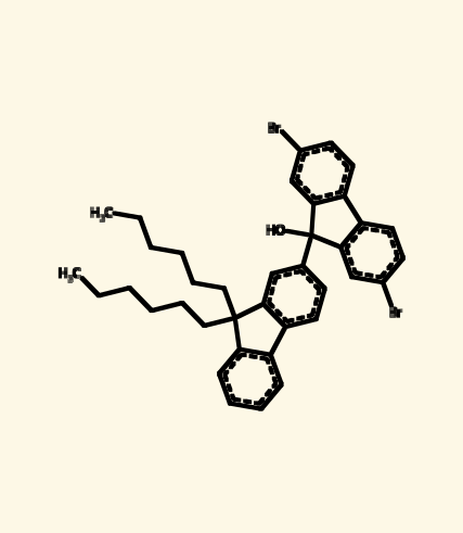 CCCCCCC1(CCCCCC)c2ccccc2-c2ccc(C3(O)c4cc(Br)ccc4-c4ccc(Br)cc43)cc21